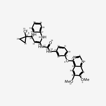 COc1cc2ncnc(Oc3cccc(NC(=O)N/C(=C/C(=N)C4(C(F)(F)F)CC4)Nc4ccccc4)c3)c2cc1OC